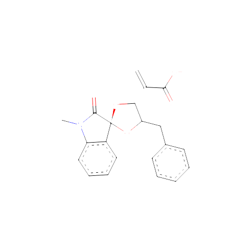 C=C(C(=O)O)[C@H]1O[C@]2(OC1Cc1ccccc1)C(=O)N(C)c1ccccc12